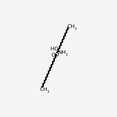 CCCCCCCCCCCCCCCCCCCCCC(=O)OCC(N)C(O)CCCCCCCCCCCCCCC